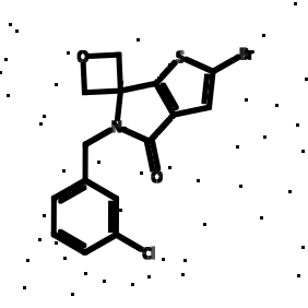 O=C1c2cc(Br)sc2C2(COC2)N1Cc1cccc(Cl)c1